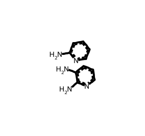 Nc1ccccn1.Nc1cccnc1N